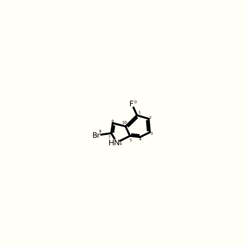 Fc1cccc2[nH]c(Br)cc12